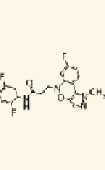 Cn1ncc2c1-c1ccc(F)cc1N(CCC(=O)NC1CC(F)=CC=C1F)O2